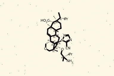 CC(C)[C@@H](C)[C@@]1(C)CC[C@]2(C)[C@H]3CC[C@@H]4[C@@]5(COC[C@@]4(C)[C@@H](OC[C@](C)(N)C(C)C)[C@H](n4ncnc4C#N)C5)C3=CC[C@@]2(C)[C@@H]1C(=O)O